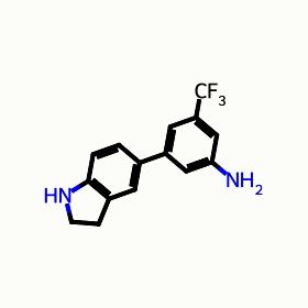 Nc1cc(-c2ccc3c(c2)CCN3)cc(C(F)(F)F)c1